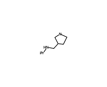 CC(C)NCC1CC[N]C1